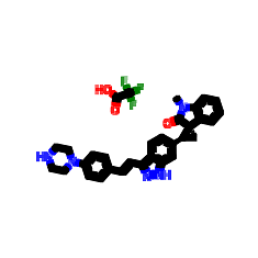 CN1C(=O)[C@@]2(C[C@H]2c2ccc3c(C=Cc4ccc(N5CCNCC5)cc4)n[nH]c3c2)c2ccccc21.O=C(O)C(F)(F)F